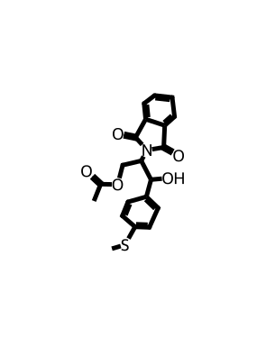 CSc1ccc(C(O)C(COC(C)=O)N2C(=O)c3ccccc3C2=O)cc1